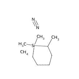 C.CC1CCCC[Si]1(C)C.N#N